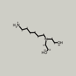 NCCCCCCN(CCO)CCO